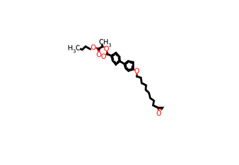 CCCCOC(=O)C(C)OC(=O)c1ccc(-c2ccc(OCCCCCCCCCC3CO3)cc2)cc1